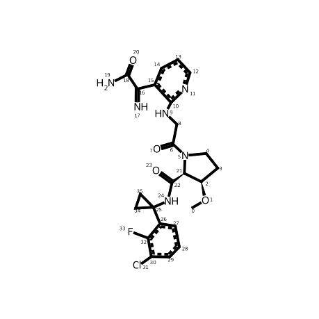 CO[C@@H]1CCN(C(=O)CNc2ncccc2C(=N)C(N)=O)[C@@H]1C(=O)NC1(c2cccc(Cl)c2F)CC1